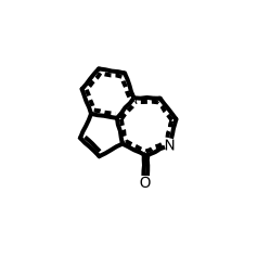 O=c1nccc2cccc3c2c1C=C3